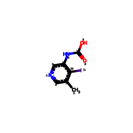 Cc1cncc(NC(=O)O)c1I